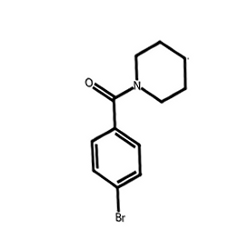 O=C(c1ccc(Br)cc1)N1CC[CH]CC1